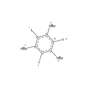 CCCCc1c(I)c(CCCC)c(I)c(CCCC)c1I